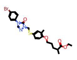 CCOC(=O)C(C)CCCOc1ccc(SCn2ncn(-c3ccc(Br)cc3)c2=O)cc1C